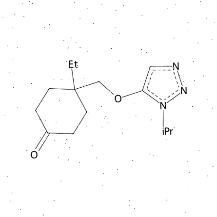 CCC1(COc2cnnn2C(C)C)CCC(=O)CC1